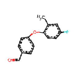 Cc1cc(F)ccc1Oc1ccc(C=O)cc1